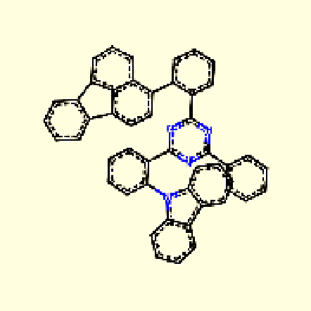 c1ccc(-c2nc(-c3ccccc3-c3ccc4c5c(cccc35)-c3ccccc3-4)nc(-c3ccccc3-n3c4ccccc4c4ccccc43)n2)cc1